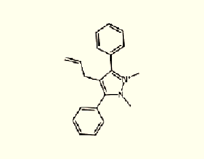 C=CCc1c(-c2ccccc2)n(C)[n+](C)c1-c1ccccc1